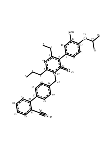 CCCc1nc(CC)c(-c2ccc(OC(C)C)c(F)c2)c(=O)n1Cc1ccc(-c2ccccc2C#N)cc1